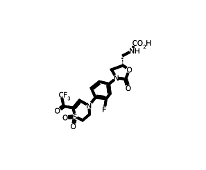 O=C(O)NC[C@H]1CN(c2ccc(N3C=C(C(=O)C(F)(F)F)S(=O)(=O)CC3)c(F)c2)C(=O)O1